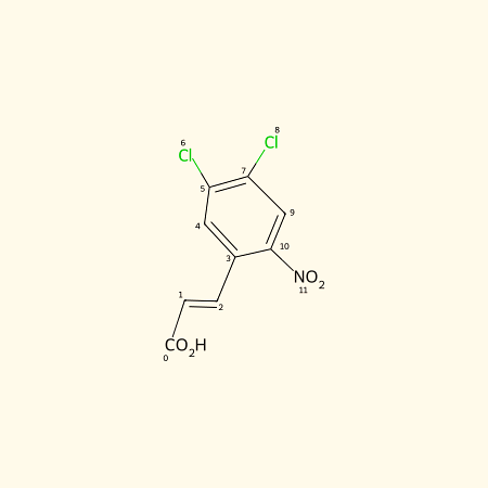 O=C(O)C=Cc1cc(Cl)c(Cl)cc1[N+](=O)[O-]